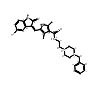 Cc1[nH]c(/C=C2\C(=O)Nc3ccc(F)cc32)c(C)c1C(=O)NCCN1CCN(Cc2ccccc2)CC1